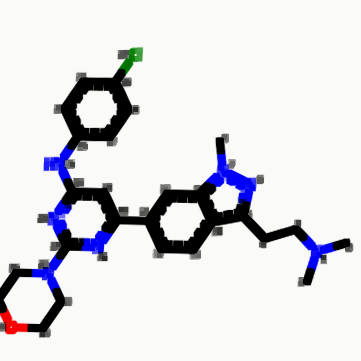 CN(C)CCc1nn(C)c2cc(-c3cc(Nc4ccc(Cl)cc4)nc(N4CCOCC4)n3)ccc12